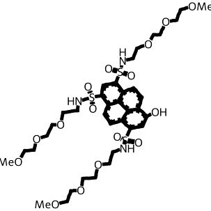 COCCOCCOCCNS(=O)(=O)c1cc(O)c2ccc3c(S(=O)(=O)NCCOCCOCCOC)cc(S(=O)(=O)NCCOCCOCCOC)c4ccc1c2c34